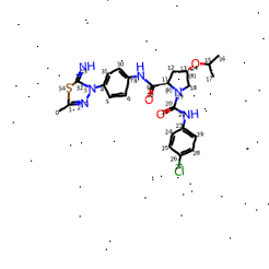 Cc1nn(-c2ccc(NC(=O)[C@H]3C[C@@H](OC(C)C)CN3C(=O)Nc3ccc(Cl)cc3)cc2)c(=N)s1